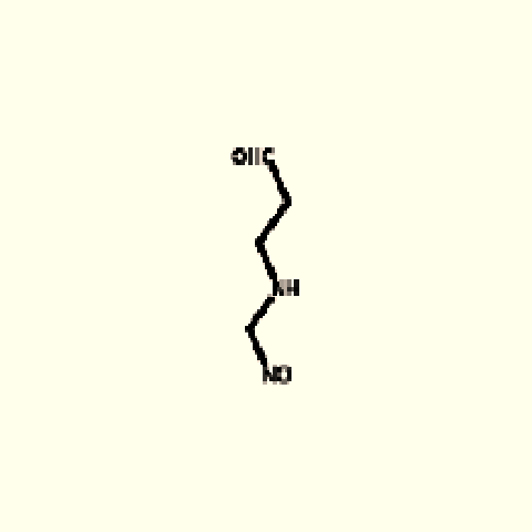 O=CCCNCN=O